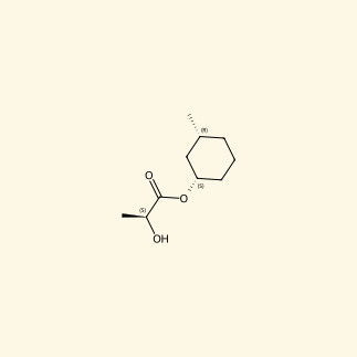 C[C@@H]1CCC[C@H](OC(=O)[C@H](C)O)C1